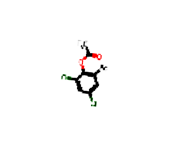 CC(=O)c1cc(Cl)cc(Cl)c1OC(=O)C(F)(F)F